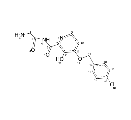 NCC(=O)NC(=O)c1nccc(OCc2ccc(Cl)cc2)c1O